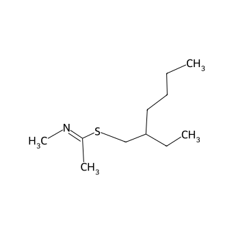 CCCCC(CC)CS/C(C)=N/C